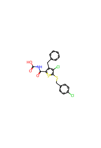 O=C(O)NC(=O)c1sc(SCc2ccc(Cl)cc2)c(Cl)c1Cc1ccccc1